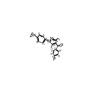 Cc1nn(-c2ccc(Br)cc2)c(C)c1C(=O)c1ccc(F)cc1